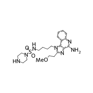 COCCc1nc2c(N)nc3ccccc3c2n1CCCCNS(=O)(=O)N1CCNCC1